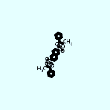 CC(OS(=O)(=O)c1ccc2cc(S(=O)(=O)OC(C)C(=O)c3ccccc3)ccc2c1)C(=O)c1ccccc1